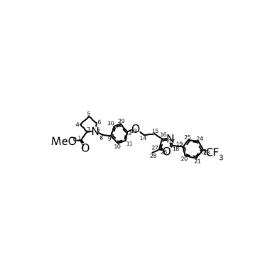 COC(=O)C1CCCN1Cc1ccc(OCCc2nc(-c3ccc(C(F)(F)F)cc3)oc2C)cc1